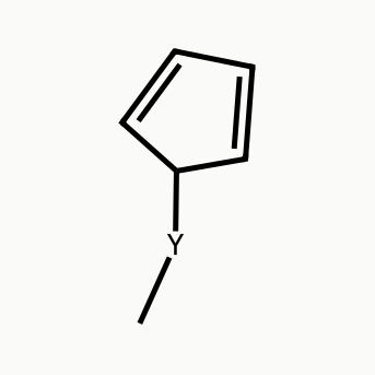 [CH3][Y][CH]1C=CC=C1